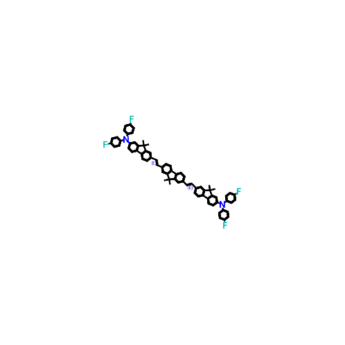 CC1(C)c2cc(/C=C/c3ccc4c(c3)C(C)(C)c3cc(N(c5ccc(F)cc5)c5ccc(F)cc5)ccc3-4)ccc2-c2ccc(/C=C/c3ccc4c(c3)C(C)(C)c3cc(N(c5ccc(F)cc5)c5ccc(F)cc5)ccc3-4)cc21